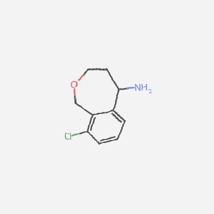 NC1CCOCc2c(Cl)cccc21